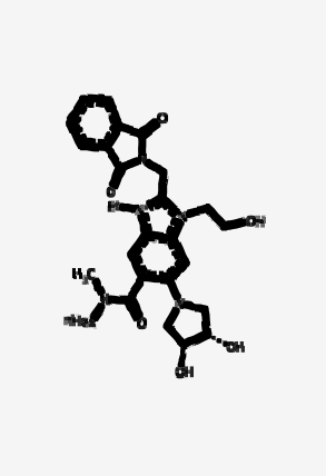 CCCCCCN(C)C(=O)c1cc2c(cc1N1C[C@H](O)[C@@H](O)C1)n(CCO)c(CN1C(=O)c3ccccc3C1=O)[n+]2CC